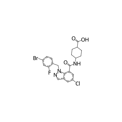 O=C(NC1CCC(C(=O)O)CC1)c1cc(Cl)cc2cnn(Cc3ccc(Br)cc3F)c12